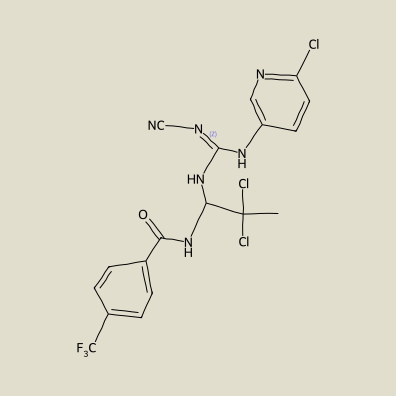 CC(Cl)(Cl)C(NC(=O)c1ccc(C(F)(F)F)cc1)N/C(=N\C#N)Nc1ccc(Cl)nc1